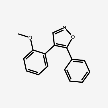 COc1ccccc1-c1cnoc1-c1ccccc1